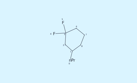 CCCC1[CH]C(F)(F)CCC1